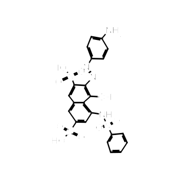 Nc1ccc(/N=N/c2c(S(=O)(=O)O)cc3cc(S(=O)(=O)O)cc(NS(=O)(=O)c4ccccc4)c3c2O)cc1